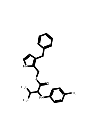 Cc1ccc(NC(C(=O)OCc2[nH]ccc2Cc2ccccc2)C(C)C)cc1